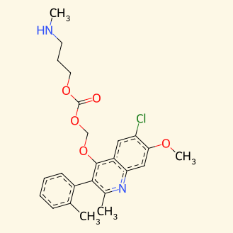 CNCCCOC(=O)OCOc1c(-c2ccccc2C)c(C)nc2cc(OC)c(Cl)cc12